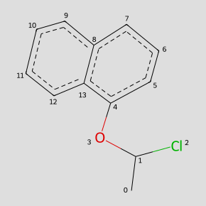 CC(Cl)Oc1cccc2ccccc12